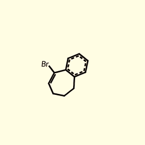 BrC1=CCCCc2ccccc21